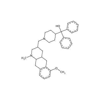 COc1cccc2c1CC1CC(CN3CCC(C(O)(c4ccccc4)c4ccccc4)CC3)CN(C)C1C2